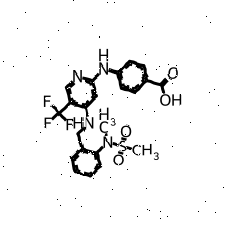 CN(c1ccccc1CNc1cc(Nc2ccc(C(=O)O)cc2)ncc1C(F)(F)F)S(C)(=O)=O